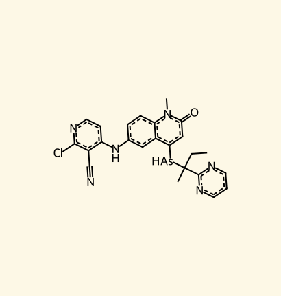 CCC(C)([AsH]c1cc(=O)n(C)c2ccc(Nc3ccnc(Cl)c3C#N)cc12)c1ncccn1